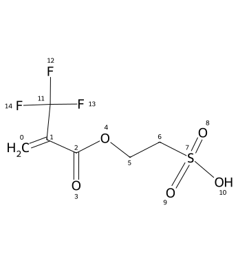 C=C(C(=O)OCCS(=O)(=O)O)C(F)(F)F